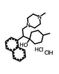 CC1CCC(O)(C(CN2CCN(C)CC2)c2cccc3ccccc23)CC1.Cl.Cl